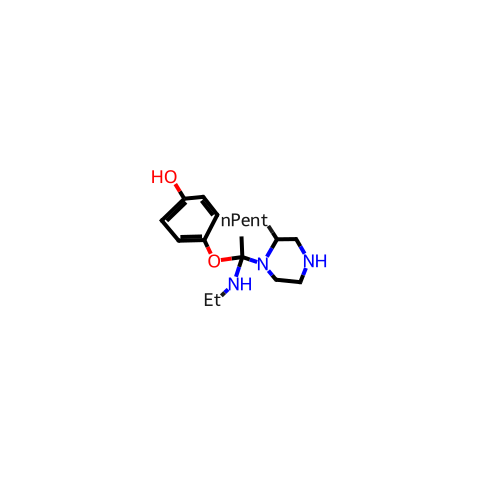 CCCCCC1CNCCN1C(C)(NCC)Oc1ccc(O)cc1